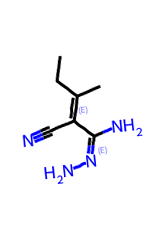 CC/C(C)=C(C#N)/C(N)=N\N